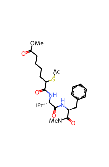 CNC(=O)[C@H](Cc1ccccc1)NC(=O)[C@@H](NC(=O)C(CCCCC(=O)OC)SC(C)=O)C(C)C